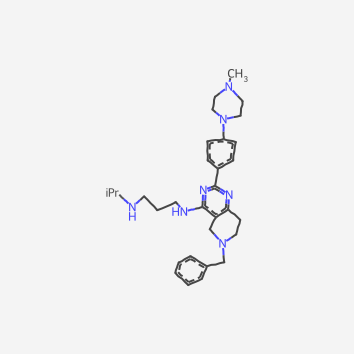 CC(C)NCCCNc1nc(-c2ccc(N3CCN(C)CC3)cc2)nc2c1CN(Cc1ccccc1)CC2